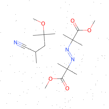 COC(=O)C(C)(C)N=NC(C)(C)C(=O)OC.COC(C)(C)CC(C)C#N